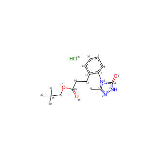 Cc1n[nH]c(=O)n1-c1ccccc1CCC(=O)OCC(C)(C)C.Cl